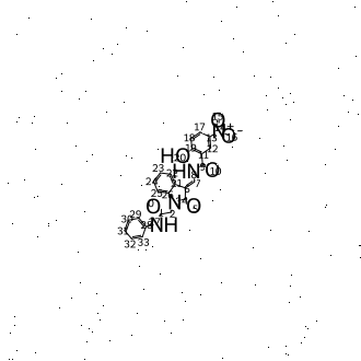 O=C(CN1C(=O)/C(=C/NC(=O)c2cc([N+](=O)[O-])ccc2O)c2ccccc21)Nc1ccccc1